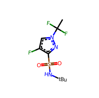 CC(C)(C)NS(=O)(=O)c1nn(C(C)(F)F)cc1F